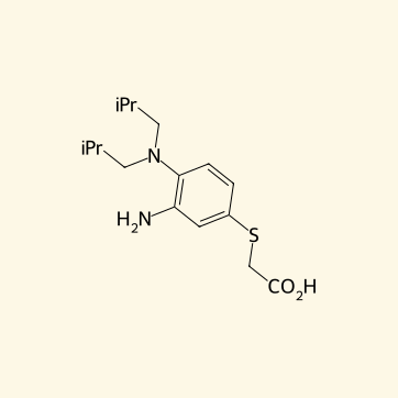 CC(C)CN(CC(C)C)c1ccc(SCC(=O)O)cc1N